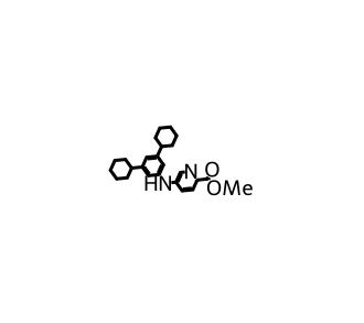 COC(=O)c1ccc(Nc2cc(C3CCCCC3)cc(C3CCCCC3)c2)cn1